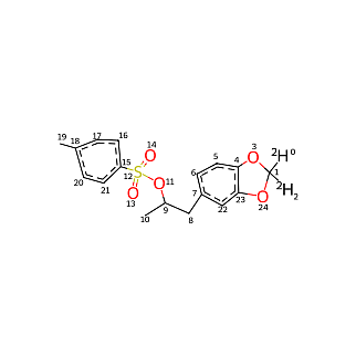 [2H]C1([2H])Oc2ccc(CC(C)OS(=O)(=O)c3ccc(C)cc3)cc2O1